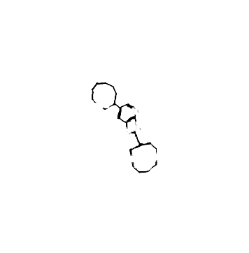 c1nc2nc(C3CCCCCCCCC3)sc2cc1C1CCCCCCCC1